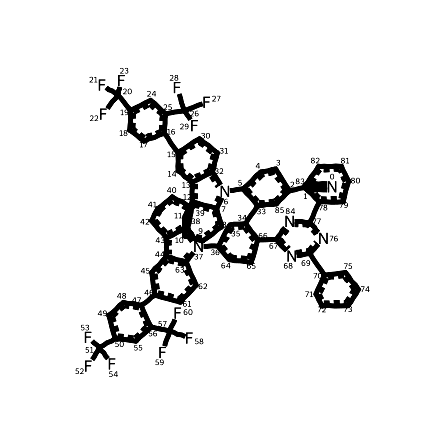 N#Cc1ccc(-n2c3ccccc3c3cc(-c4ccc(C(F)(F)F)cc4C(F)(F)F)ccc32)c(-c2cc(-n3c4ccccc4c4cc(-c5ccc(C(F)(F)F)cc5C(F)(F)F)ccc43)ccc2-c2nc(-c3ccccc3)nc(-c3ccccc3)n2)c1